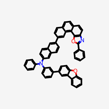 c1ccc(-c2nc3ccc4ccc5ccc(-c6ccc7cc(N(c8ccccc8)c8cccc(-c9ccc%10oc%11ccccc%11c%10c9)c8)ccc7c6)cc5c4c3o2)cc1